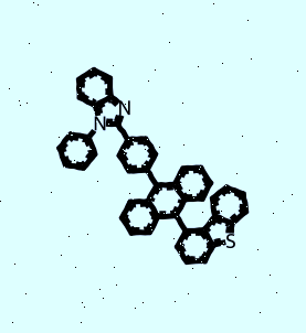 c1ccc(-n2c(-c3ccc(-c4c5ccccc5c(-c5cccc6sc7ccccc7c56)c5ccccc45)cc3)nc3ccccc32)cc1